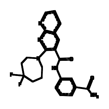 NC(=O)c1cccc(NC(=O)c2cc3cccnc3nc2N2CCCC(F)(F)CC2)c1